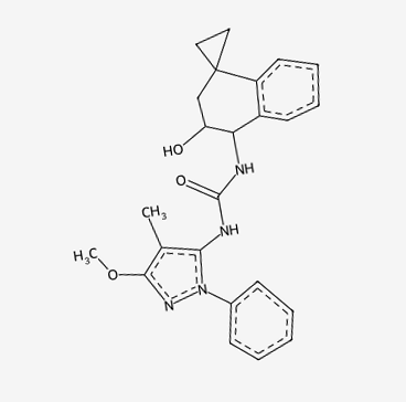 COc1nn(-c2ccccc2)c(NC(=O)NC2c3ccccc3C3(CC3)CC2O)c1C